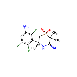 CC1(C)C(=N)N[C@](C)(c2c(F)c(N)cc(F)c2F)CS1(=O)=O